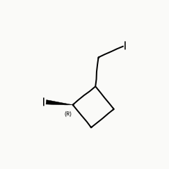 ICC1CC[C@H]1I